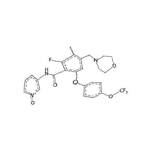 Cc1c(CN2CCOCC2)cc(Oc2ccc(OC(F)(F)F)cc2)c(C(=O)Nc2ccc[n+]([O-])c2)c1F